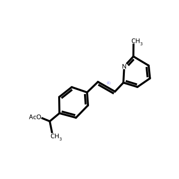 CC(=O)OC(C)c1ccc(/C=C/c2cccc(C)n2)cc1